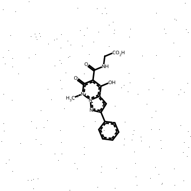 Cn1c(=O)c(C(=O)NCC(=O)O)c(O)c2cc(-c3ccccc3)nn21